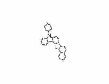 c1ccc(-n2c3ccccc3c3c4c(ccc32)-c2ccc3ccccc3c2C4)cc1